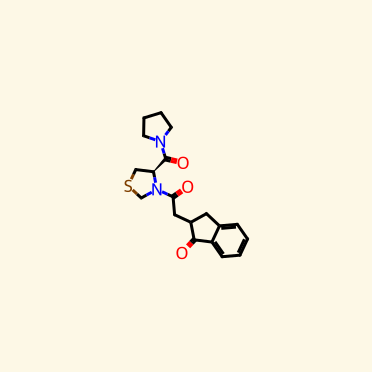 O=C1c2ccccc2CC1CC(=O)N1CSC[C@H]1C(=O)N1CCCC1